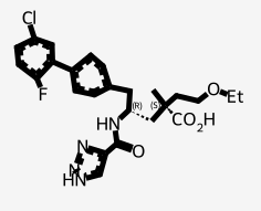 CCOCC[C@](C)(C[C@@H](Cc1ccc(-c2cc(Cl)ccc2F)cc1)NC(=O)c1c[nH]nn1)C(=O)O